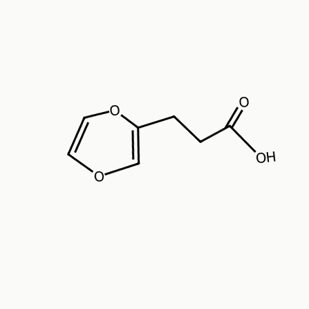 O=C(O)CCC1=COC=CO1